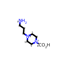 NCCCN1CCN(C(=O)O)CC1